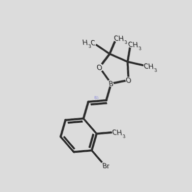 Cc1c(Br)cccc1/C=C/B1OC(C)(C)C(C)(C)O1